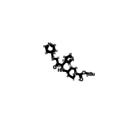 CC(C)(C)OC(=O)N1CCC(NC(C(=O)CSc2ccncc2)c2ccsc2)CC1